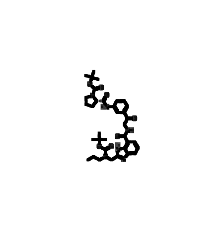 CCCN(Cc1nc2cccc(C(=O)NCC(=O)c3cccc(NC(=O)[C@@H]4CCCN4C(=O)OC(C)(C)C)c3)c2[nH]1)C(=O)OC(C)(C)C